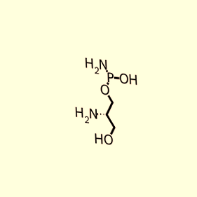 N[C@@H](CO)COP(N)O